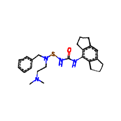 CN(C)CCN(Cc1ccccc1)SNC(=O)Nc1c2c(cc3c1CCC3)CCC2